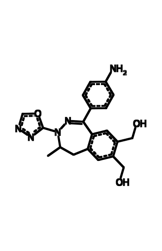 CC1Cc2cc(CO)c(CO)cc2C(c2ccc(N)cc2)=NN1c1nnco1